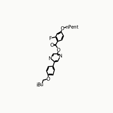 CCCCCOc1ccc(C(=O)Oc2cnc(-c3ccc(OCC(C)CC)cc3)cn2)c(F)c1